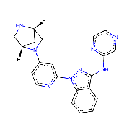 c1ccc2c(c1)c(Nc1cnccn1)nn2-c1cc(N2C[C@@H]3C[C@H]2CN3)ccn1